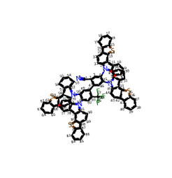 N#Cc1cc(-n2c3ccccc3c3c4sc5ccccc5c4ccc32)c(-n2c3ccccc3c3c4sc5ccccc5c4ccc32)cc1-c1cc(-n2c3ccccc3c3c4sc5ccccc5c4ccc32)c(-n2c3ccccc3c3c4sc5ccccc5c4ccc32)cc1C(F)(F)F